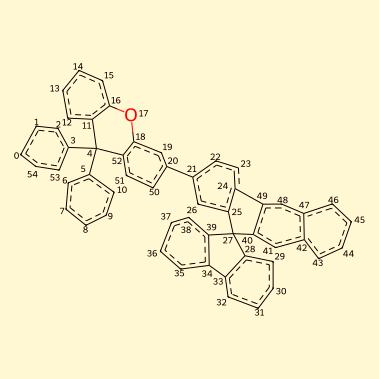 c1ccc(C2(c3ccccc3)c3ccccc3Oc3cc(-c4ccc5c(c4)C4(c6ccccc6-c6ccccc64)c4cc6ccccc6cc4-5)ccc32)cc1